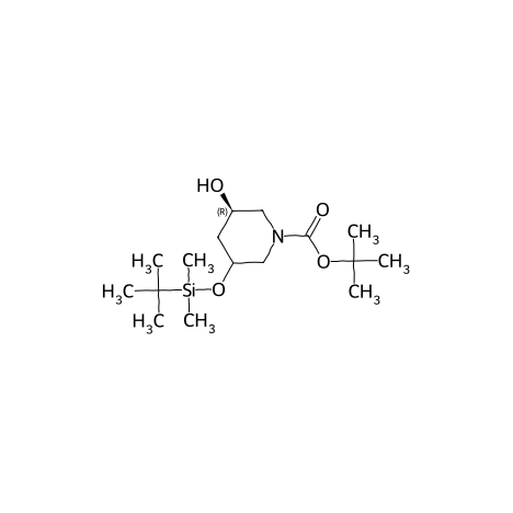 CC(C)(C)OC(=O)N1CC(O[Si](C)(C)C(C)(C)C)C[C@@H](O)C1